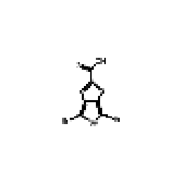 O=C(O)c1cc2c(Br)[se]c(Br)c2s1